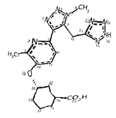 Cc1nc(-c2nnn(C)c2Cc2nn[nH]n2)ccc1O[C@H]1CCC[C@H](C(=O)O)C1